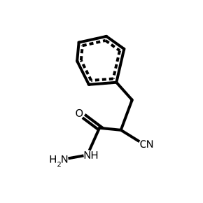 N#CC(Cc1ccccc1)C(=O)NN